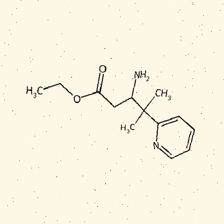 CCOC(=O)CC(N)C(C)(C)c1ccccn1